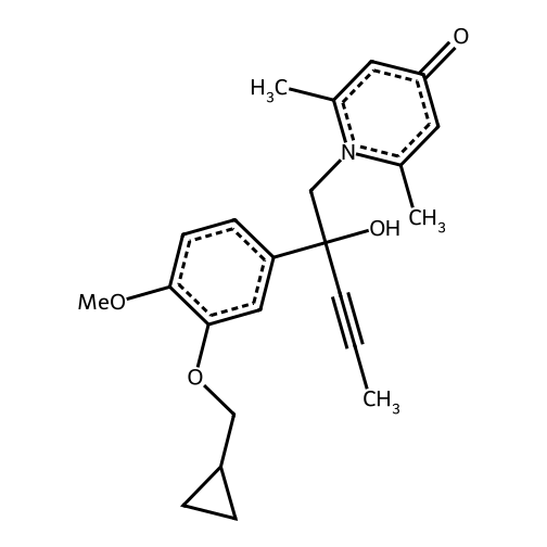 CC#CC(O)(Cn1c(C)cc(=O)cc1C)c1ccc(OC)c(OCC2CC2)c1